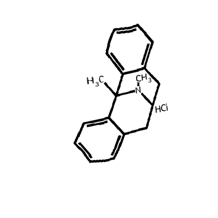 CN1C2Cc3ccccc3C1(C)c1ccccc1C2.Cl